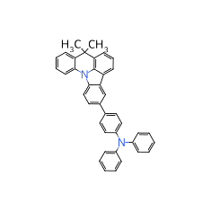 CC1(C)c2ccccc2-n2c3ccc(-c4ccc(N(c5ccccc5)c5ccccc5)cc4)cc3c3cccc1c32